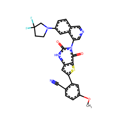 COc1ccc(C#N)c(-c2cc3[nH]c(=O)n(-c4cncc5ccc(N6CCC(F)(F)C6)cc45)c(=O)c3s2)c1